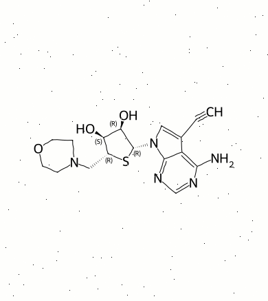 C#Cc1cn([C@@H]2S[C@H](CN3CCOCC3)[C@@H](O)[C@H]2O)c2ncnc(N)c12